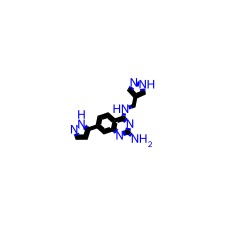 Nc1nc(NCc2cn[nH]c2)c2ccc(-c3ccn[nH]3)cc2n1